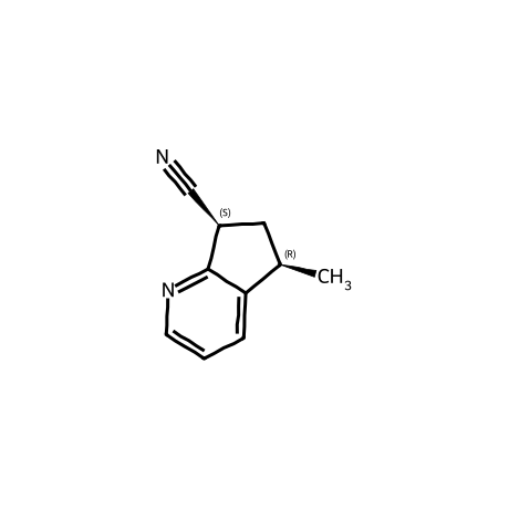 C[C@@H]1C[C@H](C#N)c2ncccc21